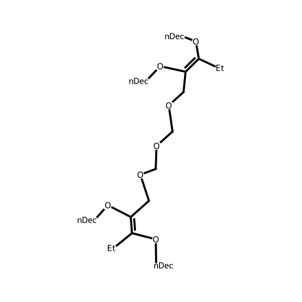 CCCCCCCCCCOC(CC)=C(COCOCOCC(OCCCCCCCCCC)=C(CC)OCCCCCCCCCC)OCCCCCCCCCC